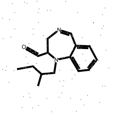 CCC(C)CN1c2ccccc2C=NCC1C=O